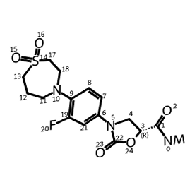 CNC(=O)[C@H]1CN(c2ccc(N3CCCS(=O)(=O)CC3)c(F)c2)C(=O)O1